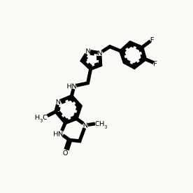 Cc1nc(NCc2cnn(Cc3ccc(F)c(F)c3)c2)cc2c1NC(=O)CN2C